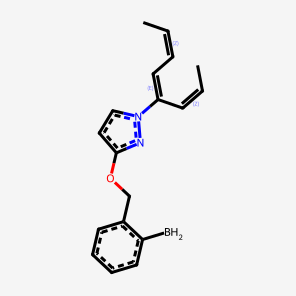 Bc1ccccc1COc1ccn(C(/C=C\C)=C/C=C\C)n1